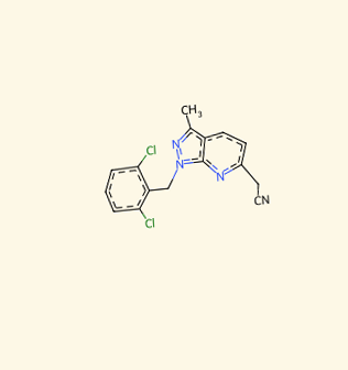 Cc1nn(Cc2c(Cl)cccc2Cl)c2nc(CC#N)ccc12